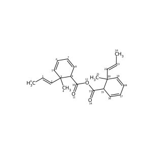 CC=CC1(C)C=CC=CC1C(=O)OC(=O)C1C=CC=CC1(C)C=CC